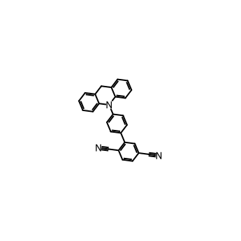 N#Cc1ccc(C#N)c(-c2ccc(N3c4ccccc4Cc4ccccc43)cc2)c1